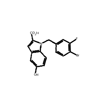 O=C(O)c1cc2cc(O)ccc2n1Cc1ccc(Br)c(F)c1